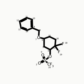 O=S(=O)(OC1CC(OCc2ccccc2)CCC1(F)F)C(F)(F)F